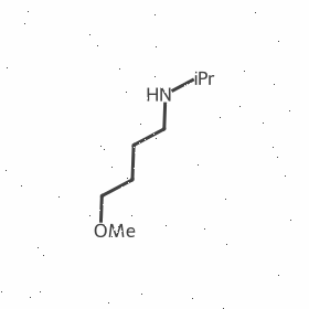 COCCCCNC(C)C